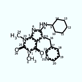 Cn1c(=O)c2c(nc(NC3CCCCC3)n2Cc2cccnc2)n(C)c1=O